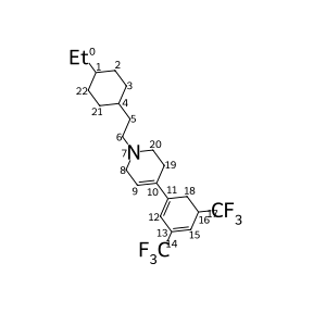 CCC1CCC(CCN2CC=C(C3=CC(C(F)(F)F)=CC(C(F)(F)F)C3)CC2)CC1